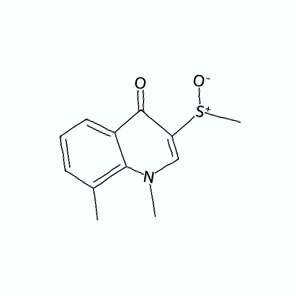 Cc1cccc2c(=O)c([S+](C)[O-])cn(C)c12